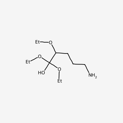 CCOC(CCCN)C(O)(OCC)OCC